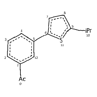 CC(=O)c1cccc(-c2ccc(C(C)C)s2)c1